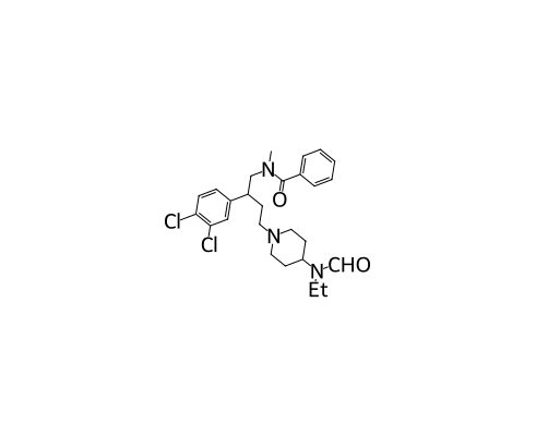 CCN(C=O)C1CCN(CCC(CN(C)C(=O)c2ccccc2)c2ccc(Cl)c(Cl)c2)CC1